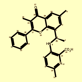 Cc1cc([C@@H](C)Nc2ccc(C)nc2C(=O)O)c2oc(-c3ccccc3)c(C)c(=O)c2c1